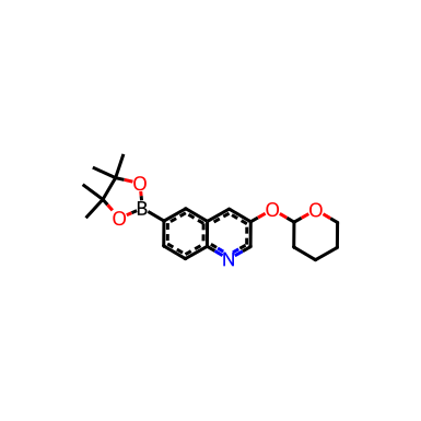 CC1(C)OB(c2ccc3ncc(OC4CCCCO4)cc3c2)OC1(C)C